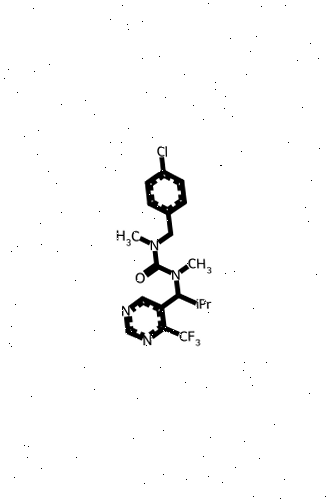 CC(C)C(c1cncnc1C(F)(F)F)N(C)C(=O)N(C)Cc1ccc(Cl)cc1